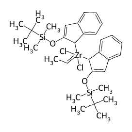 C[CH]=[Zr]([Cl])([Cl])([CH]1C(O[Si](C)(C)C(C)(C)C)=Cc2ccccc21)[CH]1C(O[Si](C)(C)C(C)(C)C)=Cc2ccccc21